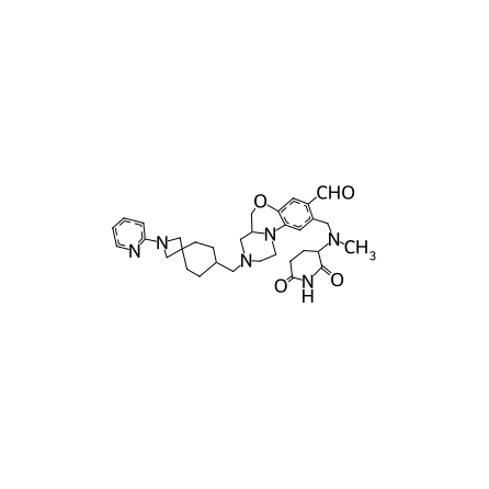 CN(Cc1cc2c(cc1C=O)OCC1CN(CC3CCC4(CC3)CN(c3ccccn3)C4)CCN21)C1CCC(=O)NC1=O